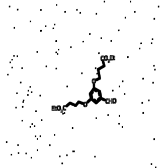 CCOC(=O)CCCOc1cc(C=O)cc(OCCCC(=O)OCC)c1